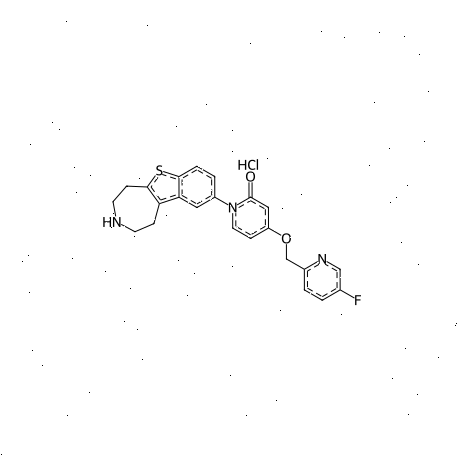 Cl.O=c1cc(OCc2ccc(F)cn2)ccn1-c1ccc2sc3c(c2c1)CCNCC3